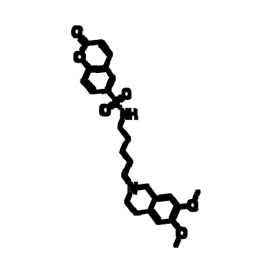 COc1cc2c(cc1OC)CN(CCCCCNS(=O)(=O)c1ccc3oc(=O)ccc3c1)CC2